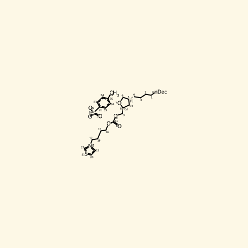 CCCCCCCCCCCCCC[C@H]1CO[C@H](COC(=O)OCCCC[n+]2ccsc2)C1.Cc1ccc(S(=O)(=O)[O-])cc1